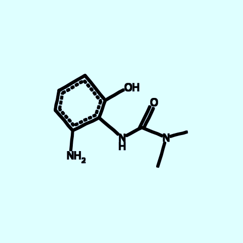 CN(C)C(=O)Nc1c(N)cccc1O